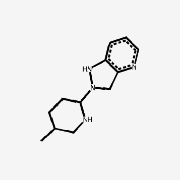 CC1CCC(N2Cc3ncccc3N2)NC1